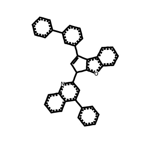 C1=C(c2cccc(-c3ccccc3)c2)c2c(oc3ccccc23)C1c1cc(-c2ccccc2)c2ccccc2n1